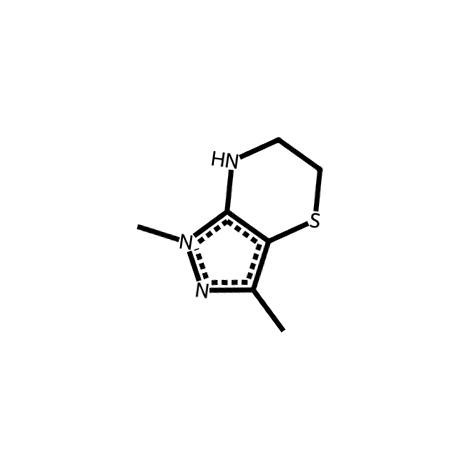 Cc1nn(C)c2c1SCCN2